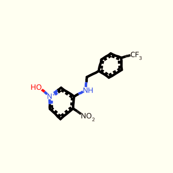 O=[N+]([O-])c1cc[n+](O)cc1NCc1ccc(C(F)(F)F)cc1